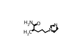 C=C(CCCn1ccnc1)C(N)=O